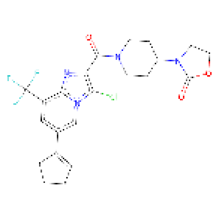 O=C(c1nc2c(C(F)(F)F)cc(C3=CCCC3)cn2c1Cl)N1CCC(N2CCOC2=O)CC1